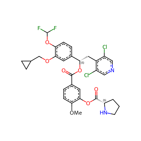 COc1ccc(C(=O)O[C@@H](Cc2c(Cl)cncc2Cl)c2ccc(OC(F)F)c(OCC3CC3)c2)cc1OC(=O)[C@@H]1CCCN1